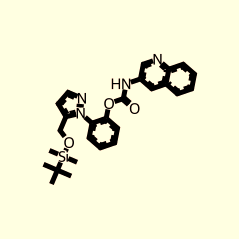 CC(C)(C)[Si](C)(C)OCc1ccnn1-c1ccccc1OC(=O)Nc1cnc2ccccc2c1